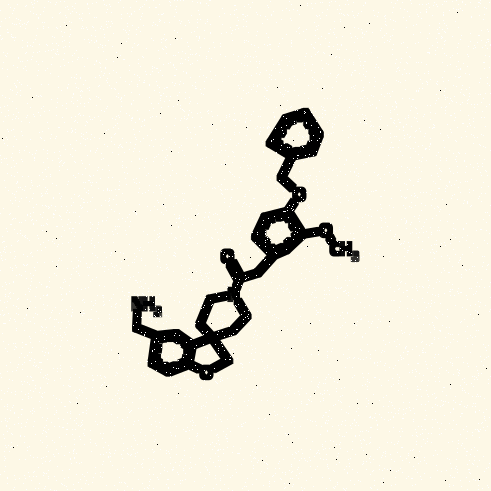 COc1cc(CC(=O)N2CCC3(CC2)COc2ccc(CN)cc23)ccc1OCc1ccccc1